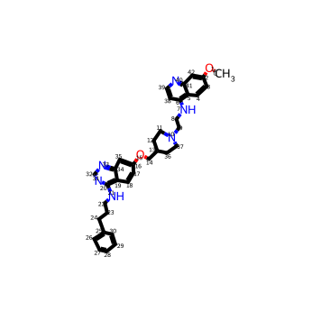 COc1ccc2c(NCCN3CCC(COc4ccc5c(NCCCc6ccccc6)ncnc5c4)CC3)ccnc2c1